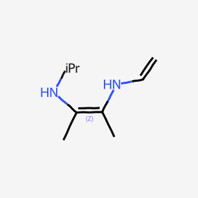 C=CN/C(C)=C(/C)NC(C)C